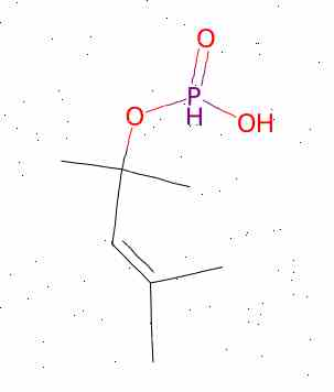 CC(C)=CC(C)(C)O[PH](=O)O